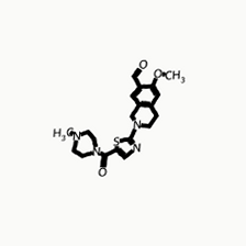 COc1cc2c(cc1C=O)CN(c1ncc(C(=O)N3CCN(C)CC3)s1)CC2